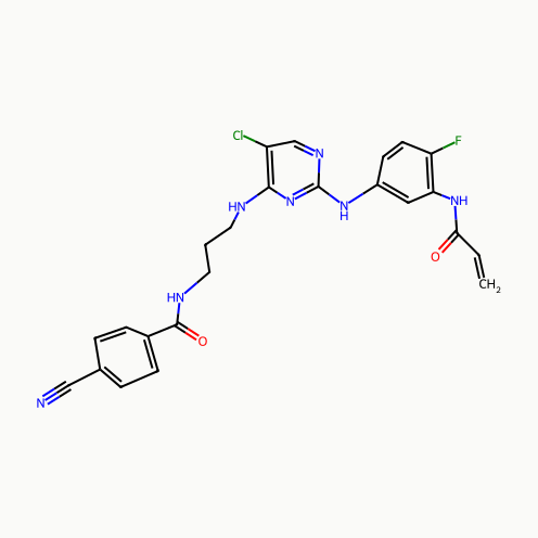 C=CC(=O)Nc1cc(Nc2ncc(Cl)c(NCCCNC(=O)c3ccc(C#N)cc3)n2)ccc1F